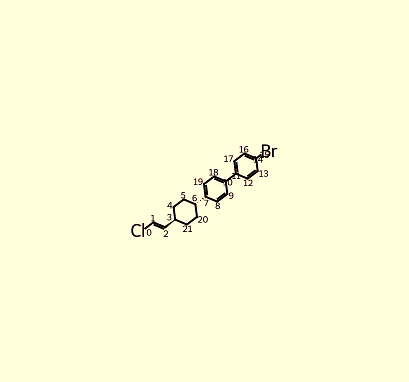 Cl/C=C/[C@H]1CC[C@H](c2ccc(-c3ccc(Br)cc3)cc2)CC1